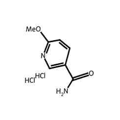 COc1ccc(C(N)=O)cn1.Cl.Cl